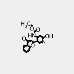 CCOC(=O)Nc1cc(O)ncc1-c1cc(=O)c2ccccc2o1